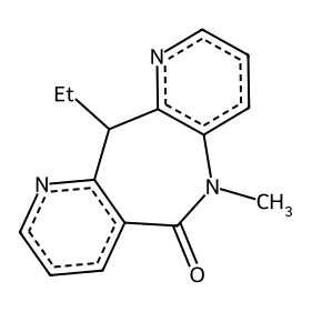 CCC1c2ncccc2C(=O)N(C)c2cccnc21